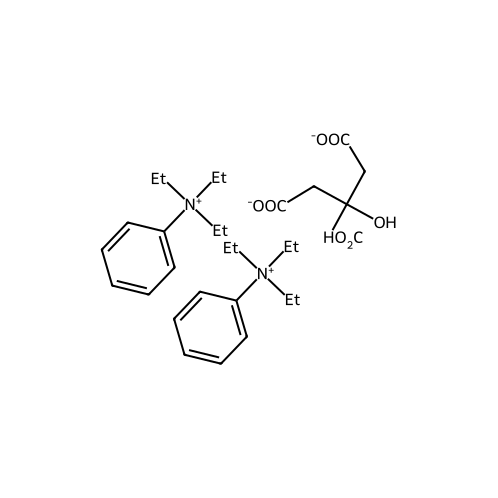 CC[N+](CC)(CC)c1ccccc1.CC[N+](CC)(CC)c1ccccc1.O=C([O-])CC(O)(CC(=O)[O-])C(=O)O